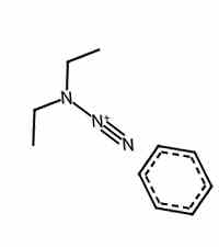 CCN(CC)[N+]#N.c1ccccc1